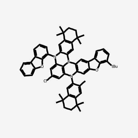 Cc1cc2c(cc1N1c3cc4oc5c(C(C)(C)C)cccc5c4cc3B3c4cc5c(cc4N(c4cccc6c4oc4ccccc46)c4cc(Cl)cc1c43)C(C)(C)CCC5(C)C)C(C)(C)CCC2(C)C